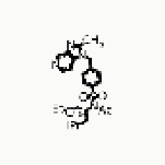 CCOC[C@H](CC(C)C)N(C(C)=O)S(=O)(=O)c1ccc(Cn2c(C)nc3cnccc32)cc1